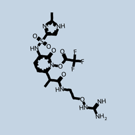 Cc1nc(S(=O)(=O)Nc2ccc(C(C)C(=O)NCCONC(=N)N)n(OC(=O)C(F)(F)F)c2=O)c[nH]1